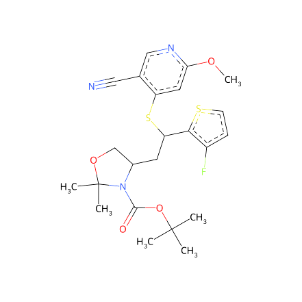 COc1cc(SC(CC2COC(C)(C)N2C(=O)OC(C)(C)C)c2sccc2F)c(C#N)cn1